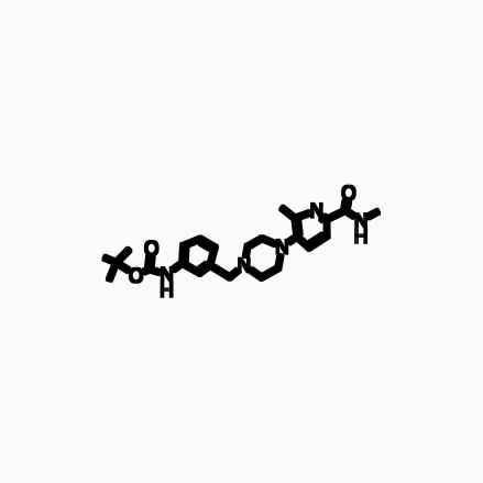 CNC(=O)c1ccc(N2CCN(Cc3cccc(NC(=O)OC(C)(C)C)c3)CC2)c(C)n1